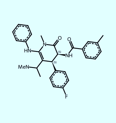 CNC(C)C1=C(Nc2ccccc2)N(C)C(=O)[C@@H](NC(=O)c2cccc(C)c2)[C@H]1c1ccc(F)cc1